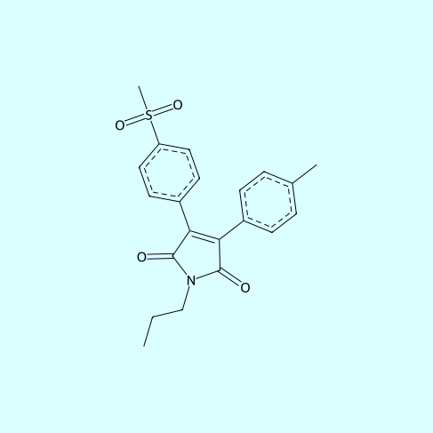 CCCN1C(=O)C(c2ccc(C)cc2)=C(c2ccc(S(C)(=O)=O)cc2)C1=O